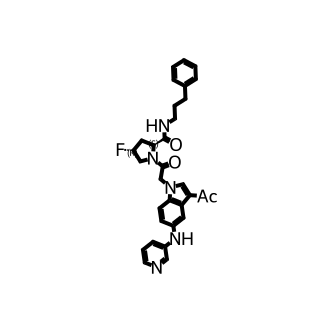 CC(=O)c1cn(CC(=O)N2C[C@H](F)C[C@H]2C(=O)NCCCc2ccccc2)c2ccc(Nc3cccnc3)cc12